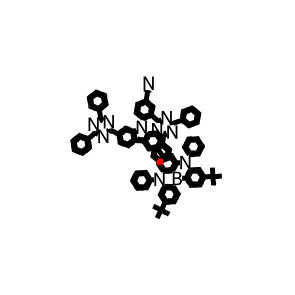 CC(C)(C)c1ccc2c(c1)N(c1ccccc1)c1cc(-c3ccc4c(c3)c3ccc(-c5nc(-c6ccccc6)nc(-c6ccccc6)n5)cc3n4-c3ccc(C#N)cc3-c3nc(-c4ccccc4)nc(-c4ccccc4)n3)cc3c1B2c1ccc(C(C)(C)C)cc1N3c1ccccc1